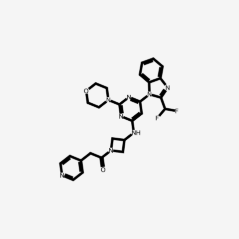 O=C(Cc1ccncc1)N1CC(Nc2cc(-n3c(C(F)F)nc4ccccc43)nc(N3CCOCC3)n2)C1